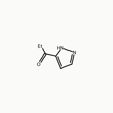 CCC(=O)c1ccn[nH]1